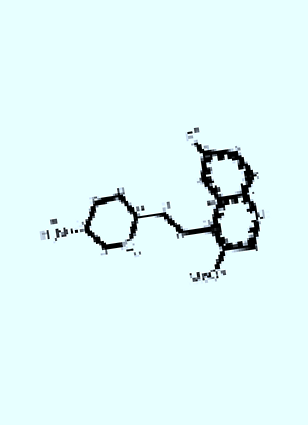 COc1cnc2ccc(F)cc2c1CC[C@@H]1CC[C@@H](N)CO1